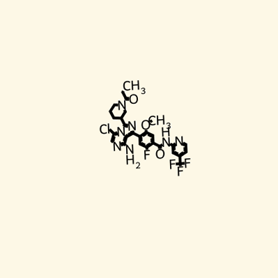 CCC(=O)N1CCCC(c2nc(-c3cc(F)c(C(=O)Nc4cc(C(F)(F)F)ccn4)cc3OC)c3c(N)ncc(Cl)n23)C1